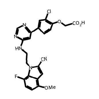 COc1ccc(F)c2c1cc(C#N)n2CCNc1cc(-c2ccc(OCC(=O)O)c(Cl)c2)ncn1